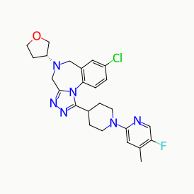 Cc1cc(N2CCC(c3nnc4n3-c3ccc(Cl)cc3CN([C@@H]3CCOC3)C4)CC2)ncc1F